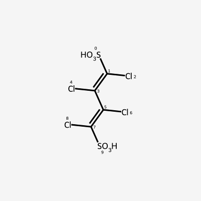 O=S(=O)(O)C(Cl)=C(Cl)C(Cl)=C(Cl)S(=O)(=O)O